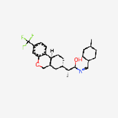 CC1CCC(/C=N\C(O)[C@H](C)[C@H]2CC[C@@H]3c4ccc(C(F)(F)F)cc4OCC3C2)CC1